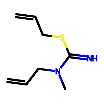 C=CCSC(=N)N(C)CC=C